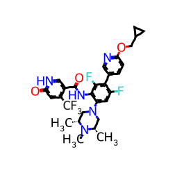 C[C@@H]1CN(c2cc(F)c(-c3ccc(OCC4CC4)nc3)c(F)c2NC(=O)c2c[nH]c(=O)cc2C(F)(F)F)C[C@H](C)N1C